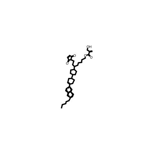 C=C(CO)C(=O)OCCCCCC(CCC1C(=O)C=CC1=O)C1CCC(C2CC=C(c3ccc4cc(CCCCC)ccc4c3)CC2)CC1